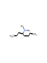 C=C/C=C\C(=C/C=C)N(C(C)=O)C(C)=O